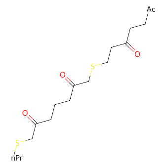 CCCSCC(=O)CCCC(=O)CSCCC(=O)CCC(C)=O